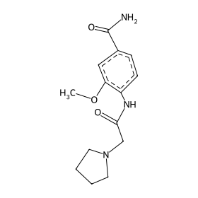 COc1cc(C(N)=O)ccc1NC(=O)CN1CCCC1